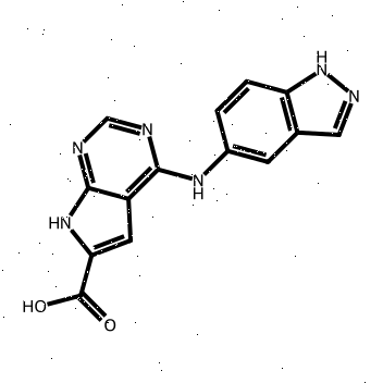 O=C(O)c1cc2c(Nc3ccc4[nH]ncc4c3)ncnc2[nH]1